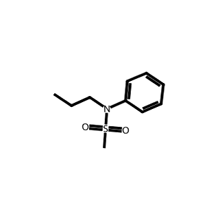 CCCN(c1ccccc1)S(C)(=O)=O